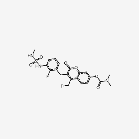 CNS(=O)(=O)Nc1cccc(Cc2c(CF)c3ccc(OC(=O)N(C)C)cc3oc2=O)c1F